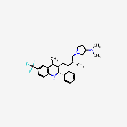 C[C@H](CC[C@@H]1[C@H](C)c2cc(C(F)(F)F)ccc2N[C@H]1C1C=CC=CC1)CN1CCC(N(C)C)C1